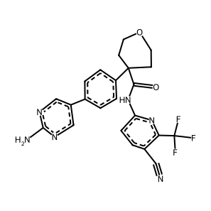 N#Cc1ccc(NC(=O)C2(c3ccc(-c4cnc(N)nc4)cc3)CCOCC2)nc1C(F)(F)F